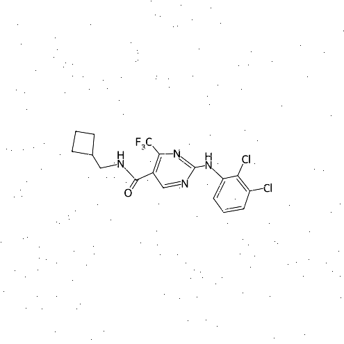 O=C(NCC1CCC1)c1cnc(Nc2cccc(Cl)c2Cl)nc1C(F)(F)F